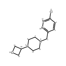 Clc1ccc(CN2CCN(C3COC3)CC2)nn1